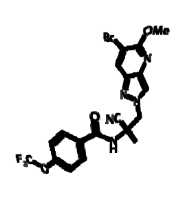 COc1nc2cn(CC(C)(C#N)NC(=O)c3ccc(OC(F)(F)F)cc3)nc2cc1Br